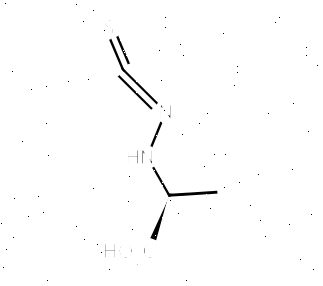 C[C@H](NN=C=S)C(=O)O